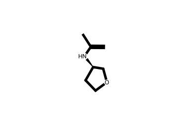 C=C(C)N[C@@H]1CCOC1